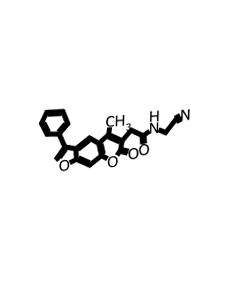 Cc1c(CC(=O)NCC#N)c(=O)oc2cc3occ(-c4ccccc4)c3cc12